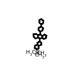 C[Si](C)(C)c1ccc2cc(-c3c4ccccc4c(-c4ccc(-c5ccccc5)cc4)c4ccccc34)ccc2c1